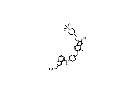 Cc1c(CN2CCC(Nc3ncnc4sc(CC(F)(F)F)cc34)CC2)ccc2c1cc(C#N)n2CCN1CCN(S(C)(=O)=O)CC1